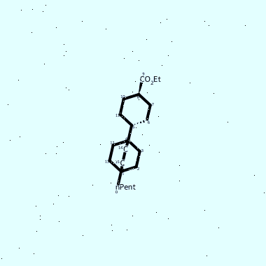 CCCCCC12CCC([C@H]3CC[C@H](C(=O)OCC)CC3)(CC1)CC2